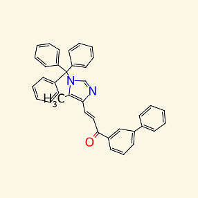 Cc1c(C=CC(=O)c2cccc(-c3ccccc3)c2)ncn1C(c1ccccc1)(c1ccccc1)c1ccccc1